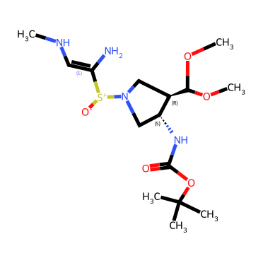 CN/C=C(\N)[S+]([O-])N1C[C@@H](NC(=O)OC(C)(C)C)[C@H](C(OC)OC)C1